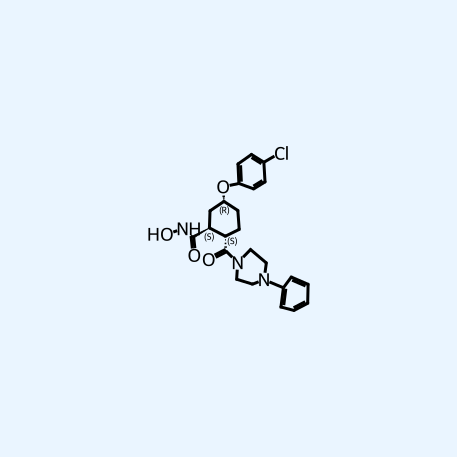 O=C(NO)[C@H]1C[C@H](Oc2ccc(Cl)cc2)CC[C@@H]1C(=O)N1CCN(c2ccccc2)CC1